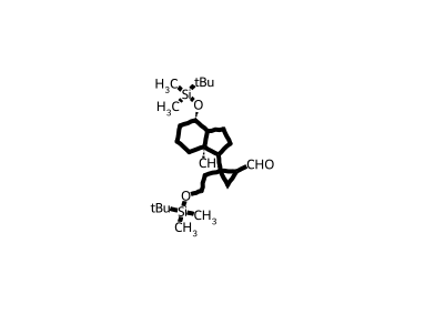 CC(C)(C)[Si](C)(C)OCCC1(C2CCC3[C@@H](O[Si](C)(C)C(C)(C)C)CCC[C@@]32C)CC1C=O